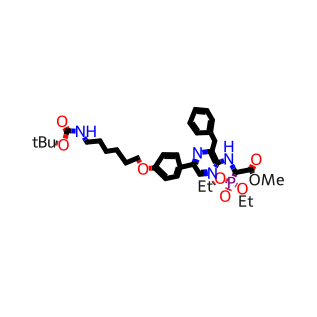 CCOP(=O)(OCC)C(Nc1ncc(-c2ccc(OCCCCCCNC(=O)OC(C)(C)C)cc2)nc1Cc1ccccc1)C(=O)OC